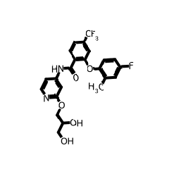 Cc1cc(F)ccc1Oc1cc(C(F)(F)F)ccc1C(=O)Nc1ccnc(OCC(O)CO)c1